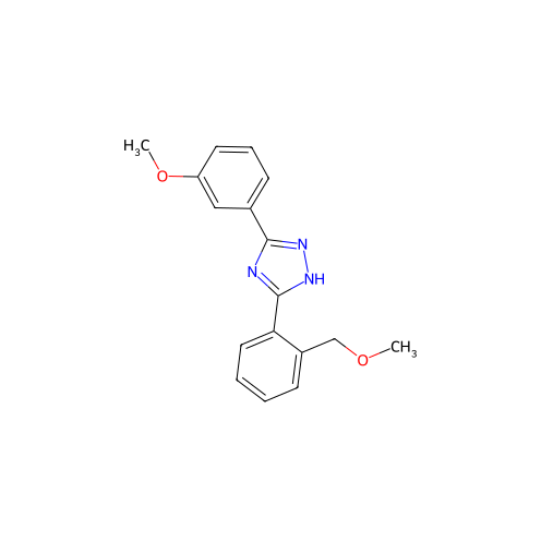 COCc1ccccc1-c1nc(-c2cccc(OC)c2)n[nH]1